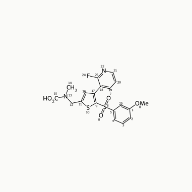 COc1cccc(S(=O)(=O)c2sc(CN(C)C(=O)O)cc2-c2cccnc2F)c1